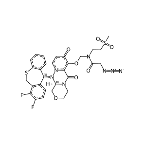 CS(=O)(=O)CCN(COc1c2n(ccc1=O)N([C@@H]1c3ccccc3SCc3c1ccc(F)c3F)[C@@H]1COCCN1C2=O)C(=O)CN=[N+]=[N-]